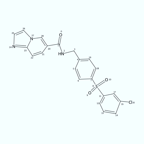 O=C(NCc1ccc(S(=O)(=O)c2cccc(Cl)c2)cc1)c1ccc2nccn2c1